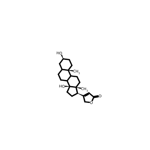 C[C@]12CC[C@H](O)CC1CCC1C2CC[C@]2(C)[C@@H](C3=CC(=O)OC3)CC[C@]12O